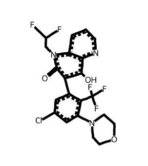 O=c1c(-c2cc(Cl)cc(N3CCOCC3)c2C(F)(F)F)c(O)c2ncccc2n1CC(F)F